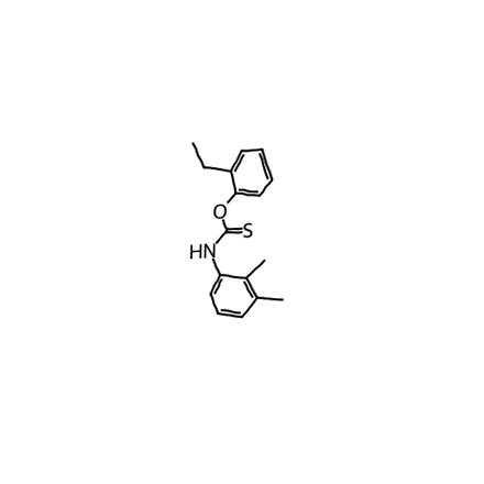 CCc1ccccc1OC(=S)Nc1cccc(C)c1C